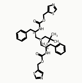 CC(C)(C)CN(C[C@@H](Cc1ccccc1)NC(=O)OCc1cncs1)C[C@@H](Cc1ccccc1)NC(=O)OCc1cncs1